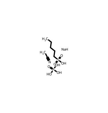 CC#N.CCCCCS(=O)(=O)O.O=P(O)(O)O.[NaH]